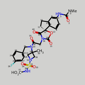 CNC(=O)Nc1ccc2c(c1)CC[C@@]21OC(=O)N(CC(=O)N(Cc2ccc(F)cc2)C2(C)CN(S(=O)(=O)NC(=O)O)C2)C1=O